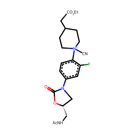 CCOC(=O)CC1CC[N+](C#N)(c2ccc(N3C[C@H](CNC(C)=O)OC3=O)cc2F)CC1